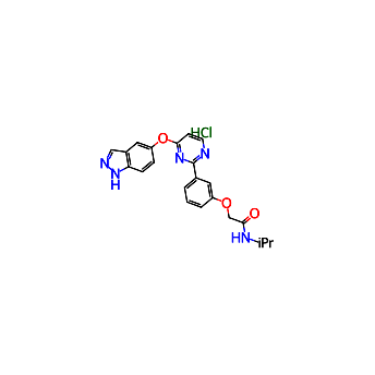 CC(C)NC(=O)COc1cccc(-c2nccc(Oc3ccc4[nH]ncc4c3)n2)c1.Cl